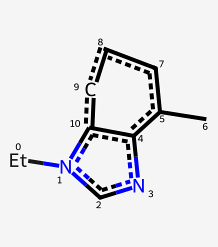 CCn1cnc2c(C)cccc21